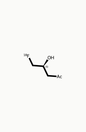 CC(=O)C[C@H](O)C[18F]